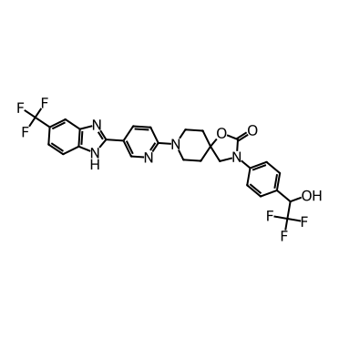 O=C1OC2(CCN(c3ccc(-c4nc5cc(C(F)(F)F)ccc5[nH]4)cn3)CC2)CN1c1ccc(C(O)C(F)(F)F)cc1